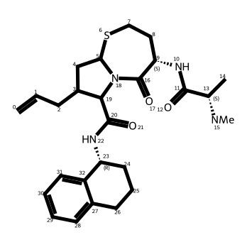 C=CCC1CC2SCC[C@H](NC(=O)[C@H](C)NC)C(=O)N2C1C(=O)N[C@@H]1CCCc2ccccc21